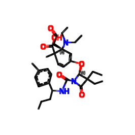 CCCC(NC(=O)N1C(=O)C(CC)(CC)[C@@H]1OC1=C[C@@](CC=O)(N(CC)CC)C(C)(C(=O)O)C=C1)c1ccc(C)cc1